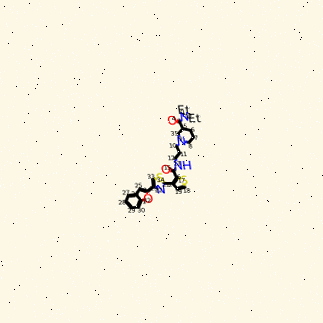 CCN(CC)C(=O)C1CCCN(CCCNC(=O)c2sccc2-c2nc(-c3cc4ccccc4o3)cs2)C1